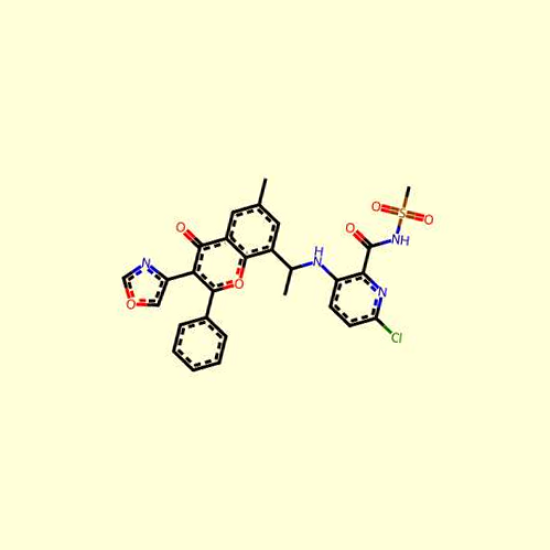 Cc1cc(C(C)Nc2ccc(Cl)nc2C(=O)NS(C)(=O)=O)c2oc(-c3ccccc3)c(-c3cocn3)c(=O)c2c1